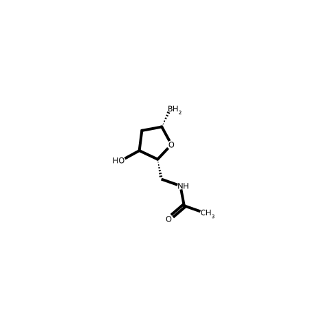 B[C@H]1CC(O)[C@@H](CNC(C)=O)O1